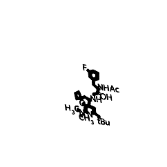 CC(=O)N[C@@H](Cc1cccc(F)c1)[C@H](O)CN[C@H]1CC2(CCC2)Oc2c1cc(CC(C)(C)C)nc2N(C)C